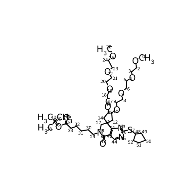 COCCOCCOCCOCCC1(CCOCCOCCOCCOC)CN(CCCCCC(=O)OC(C)(C)C)C(=O)c2cnc(SC3CCCC3)nc21